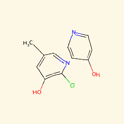 Cc1cnc(Cl)c(O)c1.Oc1ccncc1